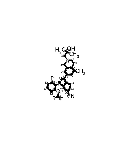 Cc1cc(-c2nn(-c3c(F)cccc3OC(F)F)c3cc(C#N)ccc23)cc2c1CCN(CC(C)(C)O)C2